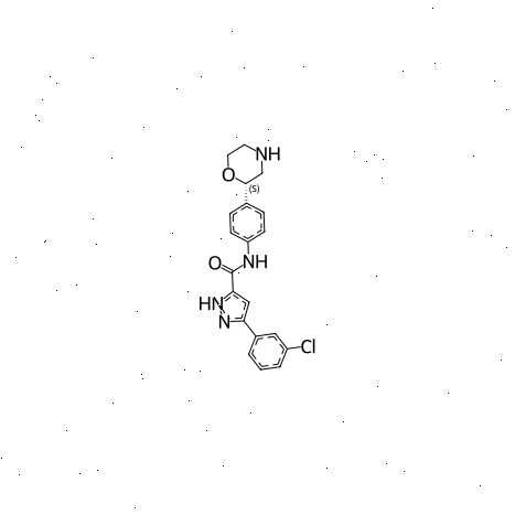 O=C(Nc1ccc([C@H]2CNCCO2)cc1)c1cc(-c2cccc(Cl)c2)n[nH]1